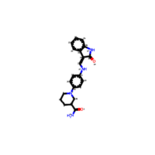 NC(=O)C1CCCN(c2ccc(N/C=C3\C(=O)Nc4ccccc43)cc2)C1